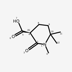 CN1C(=O)[C@@H](C(=O)O)CCC1(C)C